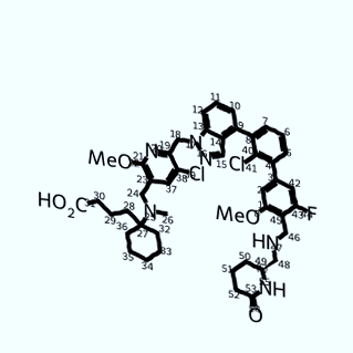 COc1cc(-c2cccc(-c3cccc4c3cnn4Cc3nc(OC)c(CN(C)C4(CCCC(=O)O)CCCCC4)cc3Cl)c2Cl)cc(F)c1CNC[C@@H]1CCCC(=O)N1